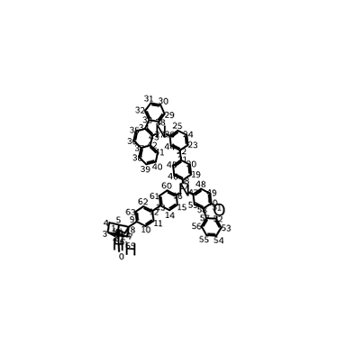 C[C@H]1CC2CC3[C@@H]2CC3(c2ccc(-c3ccc(N(c4ccc(-c5cccc(-n6c7ccccc7c7ccc8ccccc8c76)c5)cc4)c4ccc5oc6ccccc6c5c4)cc3)cc2)C1